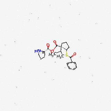 CC(C)C1(C(=O)OC(=O)[C@@H]2CCCN2)CCCC1SC(=O)c1ccccc1